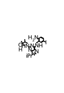 CC(C)n1cnc2c(NCc3cc(I)ccc3N)nc(NCC(C)C(C)(C)O)nc21